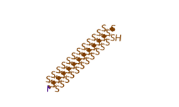 S=S(=S)(S)S(=S)(=S)S(=S)(=S)S(=S)(=S)S(=S)(=S)S(=S)(=S)S(=S)(=S)S(=S)(=S)S(=S)(=S)S(=S)(=S)S(=S)(=S)S(=S)(=S)I